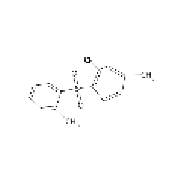 Cc1ccc(S(=O)(=O)c2ccccc2C)c(Cl)c1